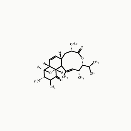 CO[C@H]1C[C@H]2C=C[C@H]3[C@H]4O[C@]2(/C(C)=C/[C@@H](C)[C@@H]([C@@H](C)O)OC1=O)[C@@H]3C(=O)[C@@H](C)[C@@H]4N